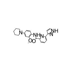 COc1cc(N2CCCCC2)ccc1NC(=O)c1cccc(-c2cc[nH]n2)n1